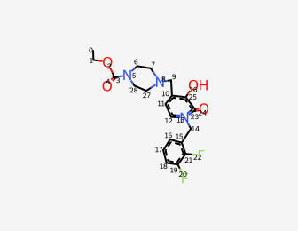 CCOC(=O)N1CCN(Cc2ccn(Cc3cccc(F)c3F)c(=O)c2O)CC1